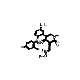 CCON/C=C1\C(=N)C(c2cc(N)ccc2Nc2ccc(F)cc2F)=CN(C)C1=O